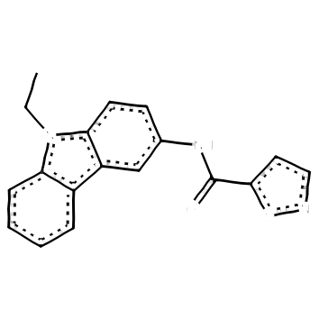 CCn1c2ccccc2c2cc(NC(=O)c3ccns3)ccc21